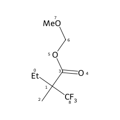 CCC(C)(C(=O)OCOC)C(F)(F)F